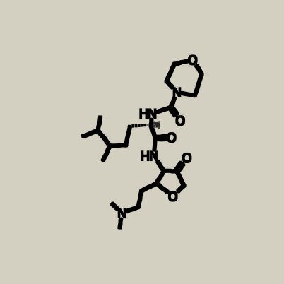 CC(C)C(C)CC[C@H](NC(=O)N1CCOCC1)C(=O)NC1C(=O)COC1CCN(C)C